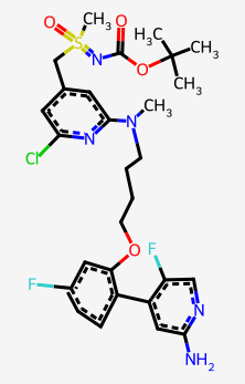 CN(CCCCOc1cc(F)ccc1-c1cc(N)ncc1F)c1cc(CS(C)(=O)=NC(=O)OC(C)(C)C)cc(Cl)n1